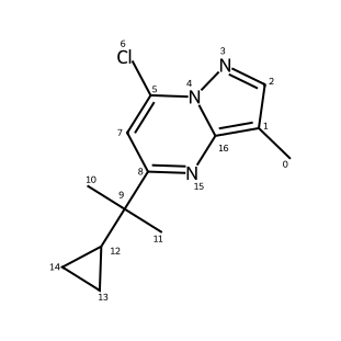 Cc1cnn2c(Cl)cc(C(C)(C)C3CC3)nc12